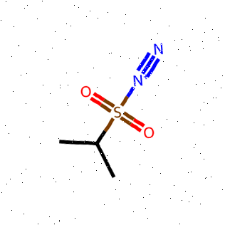 CC(C)S(=O)(=O)[N+]#N